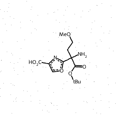 COCCC(N)(C(=O)OC(C)(C)C)c1nc(C(=O)O)co1